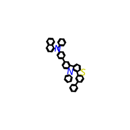 c1ccc(-c2ccc3sc4ccc5c6cc(-c7ccc(N(c8ccccc8)c8cccc9ccccc89)cc7)ccc6n(-c6ccccc6)c5c4c3c2)cc1